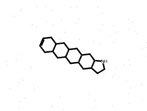 C1=CCC2CC3CC4CC5NCCC5CC4CC3CC2C1